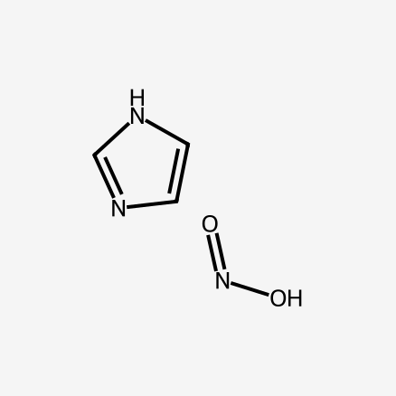 O=NO.c1c[nH]cn1